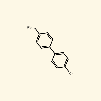 CCCC(C)c1ccc(-c2ccc(C#N)cc2)cc1